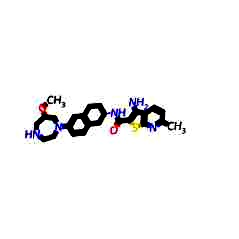 COC1CNCCN(c2ccc3c(c2)CC[C@H](NC(=O)c2sc4nc(C)ccc4c2N)C3)C1